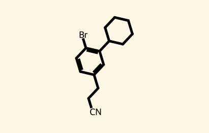 N#CCCc1ccc(Br)c(C2CCCCC2)c1